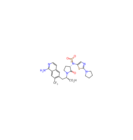 Nc1nccc2cc(C[C@H](C(=O)O)N3CC[C@H](N(c4cnc(N5CCCC5)s4)[SH](=O)=O)C3=O)c(C(F)(F)F)cc12